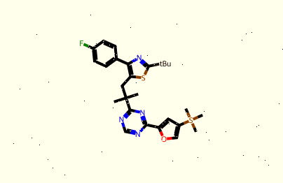 CC(C)(C)c1nc(-c2ccc(F)cc2)c(CC(C)(C)c2ncnc(-c3cc(S(C)(C)C)co3)n2)s1